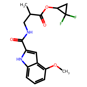 COc1cccc2[nH]c(C(=O)NCC(C)C(=O)OC3CC3(F)F)cc12